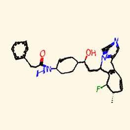 C[C@H]1C=CC2=C(C(C[C@H](O)C3CCC(NC(=O)Cc4ccccc4)CC3)n3cncc32)[C@@H]1F